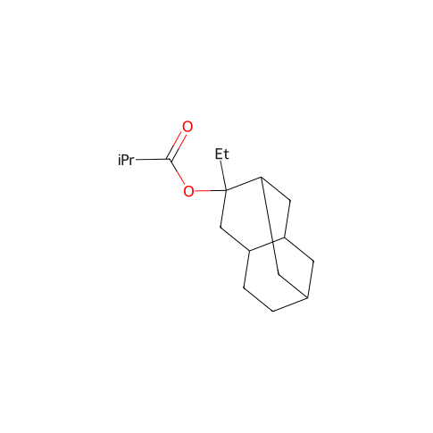 CCC1(OC(=O)C(C)C)CC2CCC3CC2CC1C3